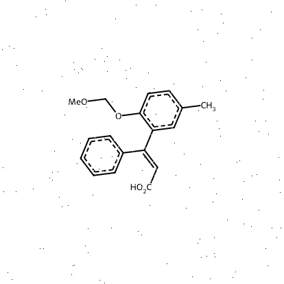 COCOc1ccc(C)cc1C(=CC(=O)O)c1ccccc1